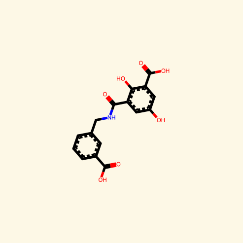 O=C(O)c1cccc(CNC(=O)c2cc(O)cc(C(=O)O)c2O)c1